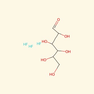 F.F.F.O=CC(O)C(O)C(O)C(O)CO